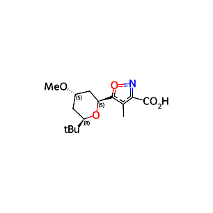 CO[C@@H]1C[C@@H](c2onc(C(=O)O)c2C)O[C@@H](C(C)(C)C)C1